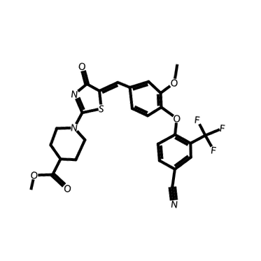 COC(=O)C1CCN(C2=NC(=O)C(=Cc3ccc(Oc4ccc(C#N)cc4C(F)(F)F)c(OC)c3)S2)CC1